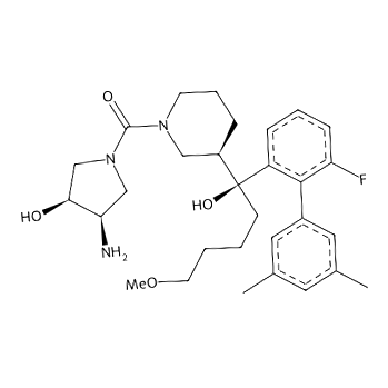 COCCCC[C@@](O)(c1cccc(F)c1-c1cc(C)cc(C)c1)[C@@H]1CCCN(C(=O)N2C[C@@H](N)[C@@H](O)C2)C1